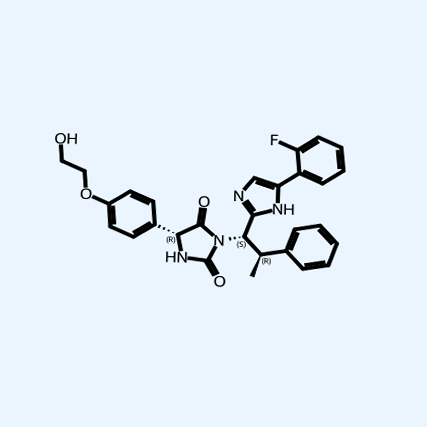 C[C@H](c1ccccc1)[C@@H](c1ncc(-c2ccccc2F)[nH]1)N1C(=O)N[C@H](c2ccc(OCCO)cc2)C1=O